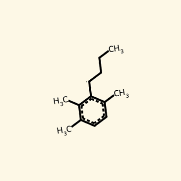 CCC[CH]c1c(C)ccc(C)c1C